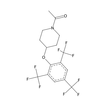 CC(=O)N1CCC(Oc2c(C(F)(F)F)cc(C(F)(F)F)cc2C(F)(F)F)CC1